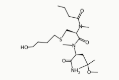 CCCC(=O)N(C)[C@H](CSCCCCO)C(=O)N(C)[C@@H](CC(C)(C)OC)C(N)=O